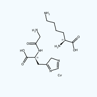 NCC(=O)N[C@@H](CC1=NC=NC1)C(=O)O.NCCCC[C@H](N)C(=O)O.[Cu]